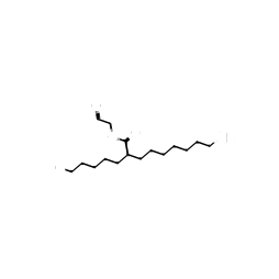 CCCCCCCCC(CCCCCC)C(=O)OCC=O